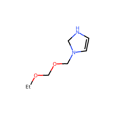 CCOCOCN1C=CNC1